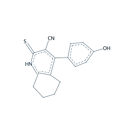 N#Cc1c(-c2ccc(O)cc2)c2c([nH]c1=S)CCCC2